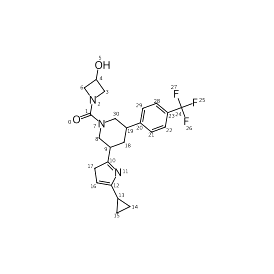 O=C(N1CC(O)C1)N1CC(C2=NC(C3CC3)=CC2)CC(c2ccc(C(F)(F)F)cc2)C1